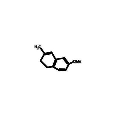 COc1ccc2c(c1)C=C(C)CC2